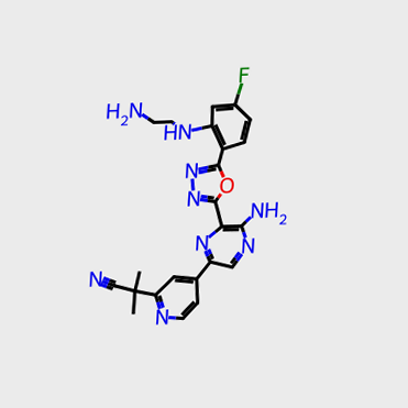 CC(C)(C#N)c1cc(-c2cnc(N)c(-c3nnc(-c4ccc(F)cc4NCCN)o3)n2)ccn1